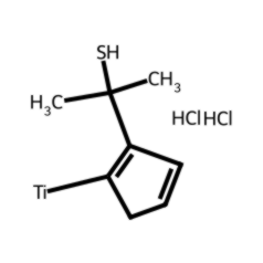 CC(C)(S)C1=[C]([Ti])CC=C1.Cl.Cl